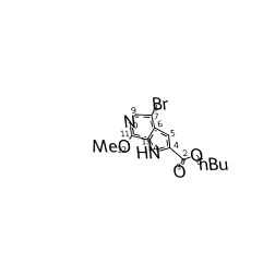 CCCCOC(=O)c1cc2c(Br)cnc(OC)c2[nH]1